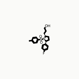 Cc1ccc(S(=O)(=O)N2[C@@H](CCCO)CC[C@H]2c2ccc(F)cc2)cc1